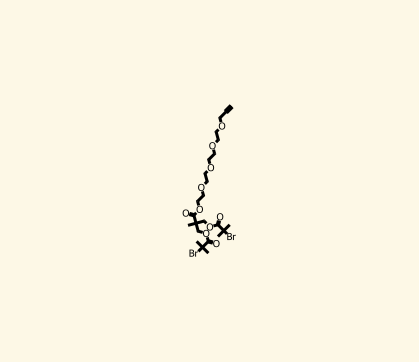 C#CCOCCOCCOCCOCCOC(=O)C(C)(COC(=O)C(C)(C)Br)COC(=O)C(C)(C)Br